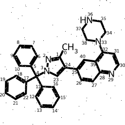 Cc1nn(C(c2ccccc2)(c2ccccc2)c2ccccc2)cc1-c1ccc2nccc(N3CCNCC3)c2c1